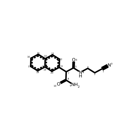 N#CCCNC(=O)C(C(N)=O)c1ccc2ccccc2c1